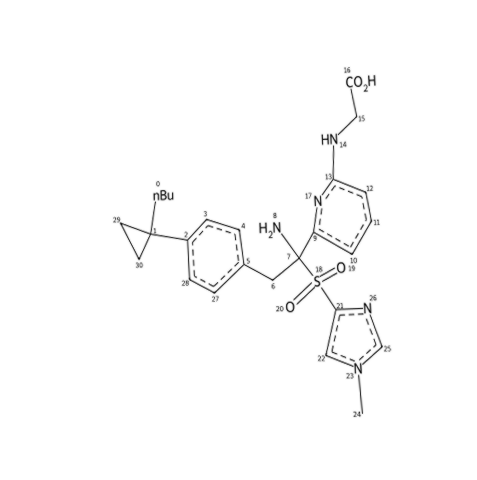 CCCCC1(c2ccc(CC(N)(c3cccc(NCC(=O)O)n3)S(=O)(=O)c3cn(C)cn3)cc2)CC1